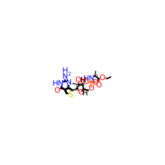 CCOC(=O)[C@H](C)NP1(=O)OC[C@H]2O[C@@H](c3scc4c(=O)[nH]c(N)nc34)[C@](C)(O)[C@@H]2O1